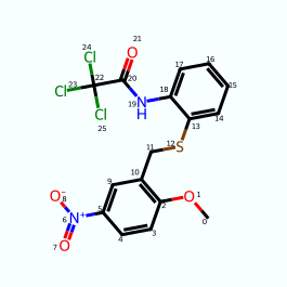 COc1ccc([N+](=O)[O-])cc1CSc1ccccc1NC(=O)C(Cl)(Cl)Cl